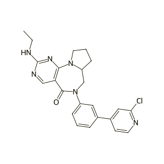 CCNc1ncc2c(n1)N1CCCC1CN(c1cccc(-c3ccnc(Cl)c3)c1)C2=O